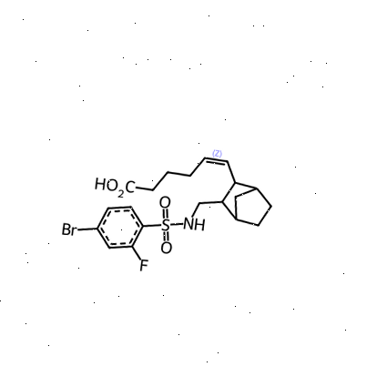 O=C(O)CCC/C=C\C1C2CCC(C2)C1CNS(=O)(=O)c1ccc(Br)cc1F